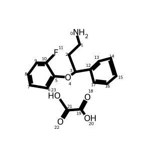 NCCC(Oc1ccccc1F)c1ccccc1.O=C(O)C(=O)O